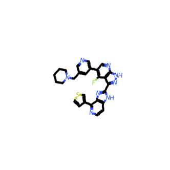 Fc1c(-c2cncc(CN3CCCCC3)c2)cnc2[nH]nc(-c3nc4c(-c5ccsc5)nccc4[nH]3)c12